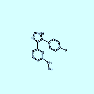 CC(C)(C)Nc1nccc(-c2nc[nH]c2-c2ccc(F)cc2)n1